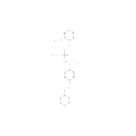 CC(C)(CCc1ccccc1O)NC(CO)c1ccc(OCc2ccccc2)cc1